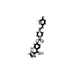 Cc1ccc(CCN2CCN(C(=O)Oc3ccc(C(S)c4ncc[nH]4)cc3)CC2)nc1